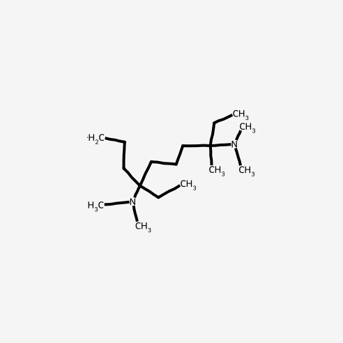 [CH2]CCC(CC)(CCCC(C)(CC)N(C)C)N(C)C